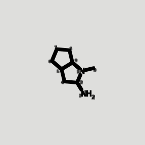 CN1C(N)CC2CCCC21